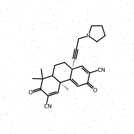 CC1(C)C(=O)C(C#N)=C[C@]2(C)C3=CC(=O)C(C#N)=C[C@]3(C#CCN3CCCC3)CCC12